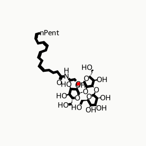 CCCCC/C=C\C/C=C\C/C=C\C/C=C\CCCC(=O)NCCO[C@@H]1O[C@H](CO)[C@@H](O)[C@H](O[C@@H]2O[C@H](CO)[C@@H](O)[C@H](O)[C@H]2O)[C@H]1O[C@@H]1O[C@H](CO)[C@@H](O)[C@H](O)[C@H]1O